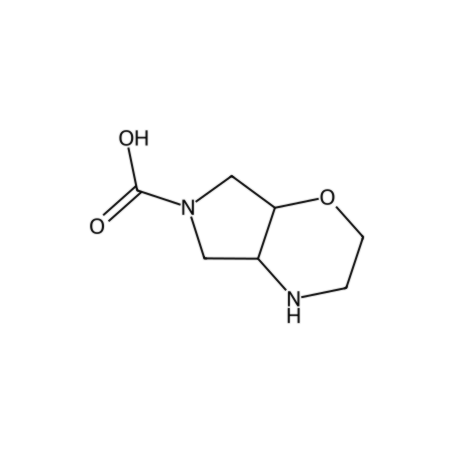 O=C(O)N1CC2NCCOC2C1